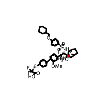 COc1cc(C(F)(F)[C@H](NS(=O)(=O)c2ccc(OCC3CCCCC3)cc2)C(=O)N2C3CCC2CC(N)C3)ccc1-c1ccc(Cl)cc1.O=C(O)C(F)(F)F